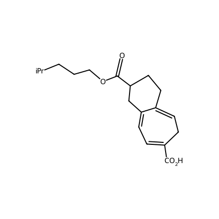 CC(C)CCCOC(=O)C1CCC2=CCC(C(=O)O)=CC=C2C1